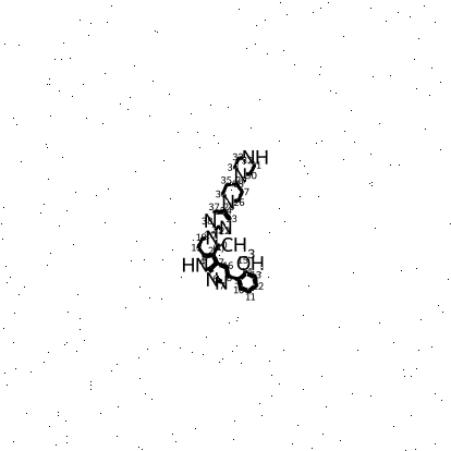 C[C@@H]1c2c([nH]c3nnc(-c4ccccc4O)cc23)CCN1c1ncc(N2CCC(N3CCNCC3)CC2)cn1